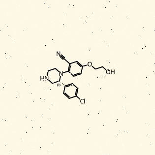 N#Cc1cc(OCCO)ccc1N1CCNC[C@H]1c1ccc(Cl)cc1